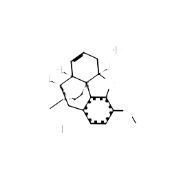 COc1ccc2c3c1O[C@H]1[C@@H](O)C=C[C@H]4[C@@H](C2)N(C)CC[C@@]341.[H+]